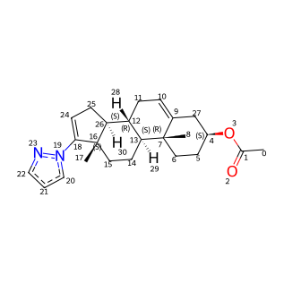 CC(=O)O[C@H]1CC[C@@]2(C)C(=CC[C@@H]3[C@@H]2CC[C@]2(C)C(n4cccn4)=CC[C@@H]32)C1